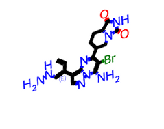 C=C/C(=C\NN)c1cnn2c(N)c(Br)c(C3CCC4C(=O)NC(=O)N4C3)nc12